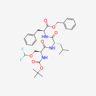 CC(C)C[C@H](NC(=O)[C@H](COC(F)F)NC(=O)OC(C)(C)C)C(=O)N[C@@H](Cc1ccccc1)C(=O)OCc1ccccc1